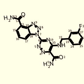 NC(=O)c1nnc(-n2nnc3c(C(N)=O)cccc32)nc1NCc1cccc(F)c1